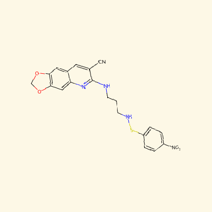 N#Cc1cc2cc3c(cc2nc1NCCCNSc1ccc([N+](=O)[O-])cc1)OCO3